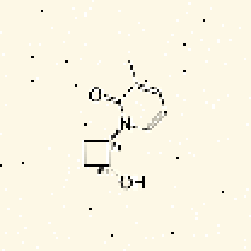 Cc1cccn([C@@H]2CC[C@H]2O)c1=O